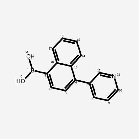 OB(O)c1ccc(-c2cccnc2)c2ccccc12